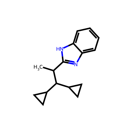 CC(c1nc2ccccc2[nH]1)C(C1CC1)C1CC1